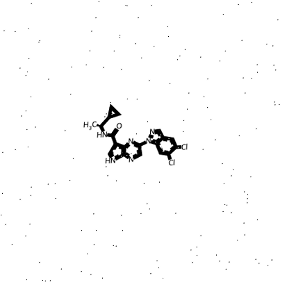 C[C@H](NC(=O)c1c[nH]c2ncc(-n3ncc4cc(Cl)c(Cl)cc43)nc12)C1CC1